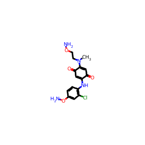 CN(CCON)C1=CC(=O)C(Nc2ccc(ON)cc2Cl)=CC1=O